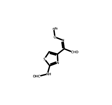 CCCO/N=C(/[C]=O)c1csc(NC=O)n1